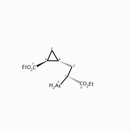 CCOC(=O)[C@H]([AsH2])C[C@H]1C[C@@H]1C(=O)OCC